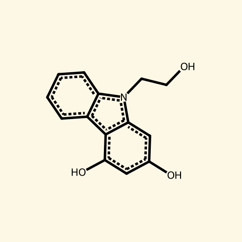 OCCn1c2ccccc2c2c(O)cc(O)cc21